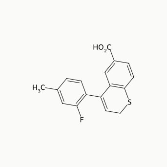 Cc1ccc(C2=CCSc3ccc(C(=O)O)cc32)c(F)c1